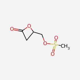 CS(=O)(=O)OCC1CC(=O)O1